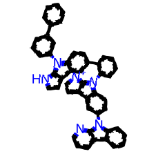 C1=[N+]=c2c(c3cc(-n4c5ccccc5c5cccnc54)ccc3n2-c2ccccc2-c2ccc3c(c2)c2cc[nH]c2n3-c2cccc(-c3ccccc3)c2)=C1